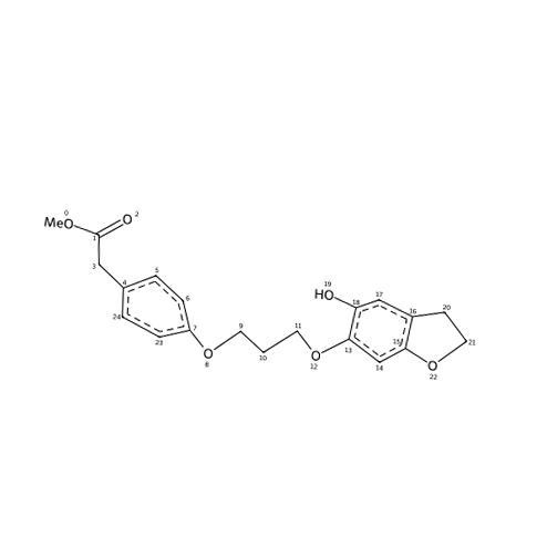 COC(=O)Cc1ccc(OCCCOc2cc3c(cc2O)CCO3)cc1